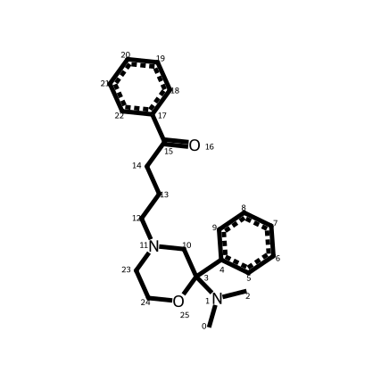 CN(C)C1(c2ccccc2)CN(CCCC(=O)c2ccccc2)CCO1